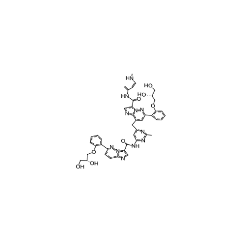 C=C(/C=C\NC)NC(=O)c1cnc2c(Cc3cc(NC(=O)c4cnc5ccc(-c6ccccc6OC[C@H](O)CO)nn45)nc(C)n3)cc(-c3ccccc3OC[C@H](O)CO)nn12